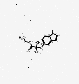 CCOC(=O)C(C)(C)Oc1ccc2[nH]ccc2c1